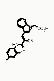 N#C/C(=C\c1cn(CC(=O)O)c2ccccc12)C(=O)Nc1ccc(F)cc1F